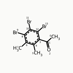 CC(=O)c1c(C)c(C)c(Br)c(Br)c1Br